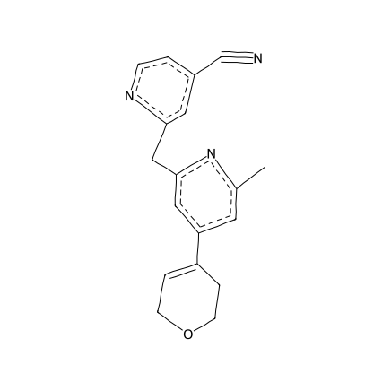 Cc1cc(C2=CCOCC2)cc(Cc2cc(C#N)ccn2)n1